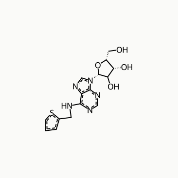 OC[C@H]1O[C@@H](n2cnc3c(NCc4cccs4)ncnc32)C(O)[C@H]1O